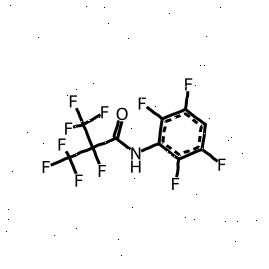 O=C(Nc1c(F)c(F)cc(F)c1F)C(F)(C(F)(F)F)C(F)(F)F